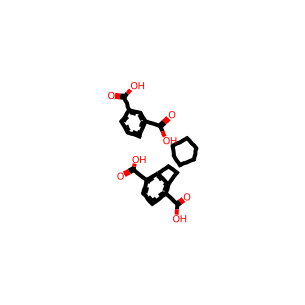 C1CCCCC1.O=C(O)c1ccc(C(=O)O)c2c1CC2.O=C(O)c1cccc(C(=O)O)c1